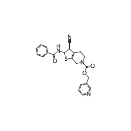 N#CC1C2=C(CN(C(=O)OCc3cccnc3)CC2)SC1NC(=O)c1ccccc1